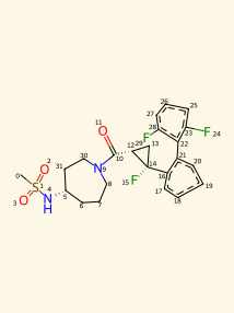 CS(=O)(=O)N[C@H]1CCCN(C(=O)[C@@H]2C[C@@]2(F)c2ccccc2-c2c(F)cccc2F)CC1